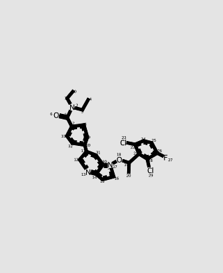 CCN(CC)C(=O)c1ccc(-c2cnc3ccn(OC(C)c4c(Cl)ccc(F)c4Cl)c3c2)cc1